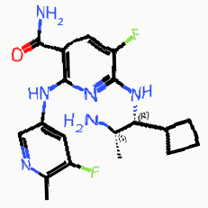 Cc1ncc(Nc2nc(N[C@H](C3CCC3)[C@H](C)N)c(F)cc2C(N)=O)cc1F